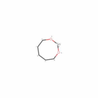 C1CC[O][Sn][O]CC1